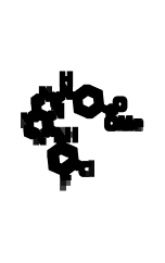 COC(=O)[C@H]1CC[C@H](Nc2ncc3ncnc(Nc4ccc(F)c(Cl)c4)c3n2)CC1